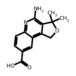 CC1(C)OCc2c1c(N)nc1ccc(C(=O)O)cc21